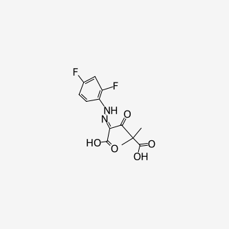 CC(C)(C(=O)O)C(=O)/C(=N\Nc1ccc(F)cc1F)C(=O)O